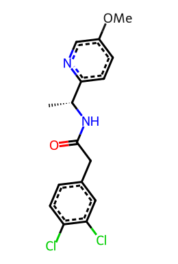 COc1ccc([C@@H](C)NC(=O)Cc2ccc(Cl)c(Cl)c2)nc1